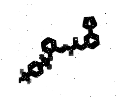 O=C(Cc1cccc(-n2cccc2)c1)NN=Cc1ccccc1OS(=O)(=O)c1ccc(C(F)(F)F)cc1